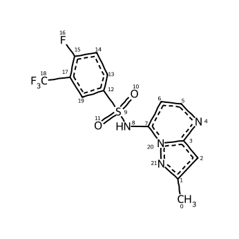 Cc1cc2nccc(NS(=O)(=O)c3ccc(F)c(C(F)(F)F)c3)n2n1